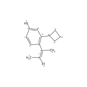 CC/C(C)=C(\C)c1ccc(S)cc1C1CCC1